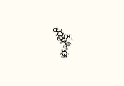 CC1(c2ccc(Cl)cc2)OC(C(=O)OCc2cccnc2)=CC1=O